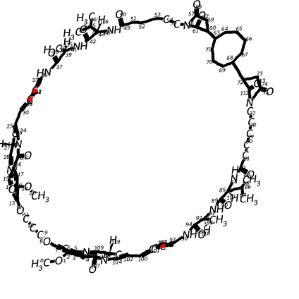 COc1cc2c3cc1OCCCOc1cc4c(cc1OC)C(=O)N1C=C(C[C@H]1C=N4)c1ccc(cc1)NC(=O)[C@H](C)NC(=O)[C@H](C(C)C)NC(=O)CCCCCN1C(=O)CC(C1=O)C1CCCCC(CCC1)C1CC(=O)N(CCCCCC(=O)N[C@@H](C(C)C)C(=O)N[C@@H](C)C(=O)Nc4ccc(cc4)C4=CN(C2=O)[C@H](C=N3)C4)C1=O